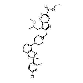 CCOC(=O)c1cc2nc(CN3CCC(c4cccc5c4OC(C)(c4ccc(Cl)cc4F)O5)CC3)n(CC(C)OC)c2nn1